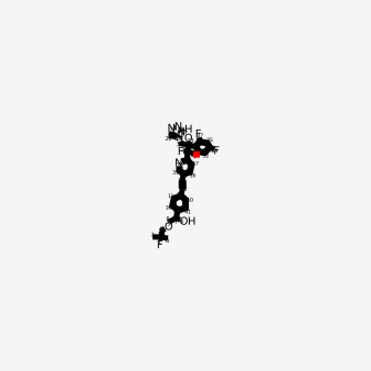 CC(C)(F)COCC(O)c1ccc(C#Cc2ccc(C(F)(F)C(O)(Cn3cnnn3)c3ccc(F)cc3F)nc2)cc1